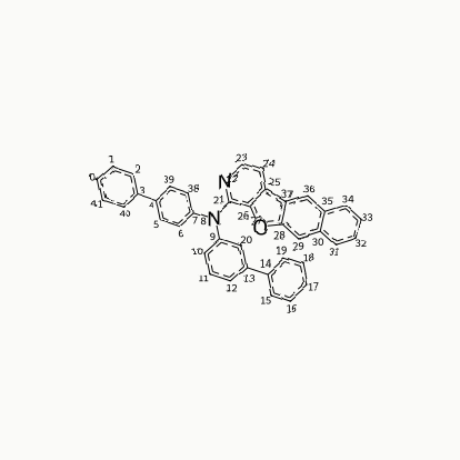 c1ccc(-c2ccc(N(c3cccc(-c4ccccc4)c3)c3nccc4c3oc3cc5ccccc5cc34)cc2)cc1